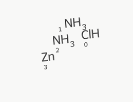 Cl.N.N.[Zn]